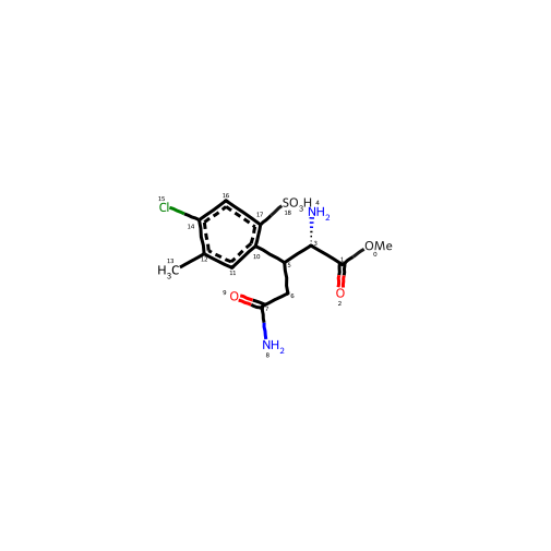 COC(=O)[C@@H](N)C(CC(N)=O)c1cc(C)c(Cl)cc1S(=O)(=O)O